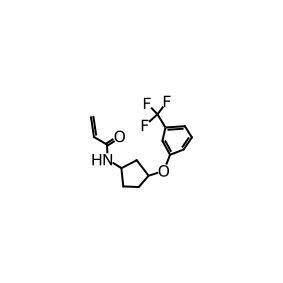 C=CC(=O)NC1CCC(Oc2cccc(C(F)(F)F)c2)C1